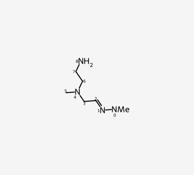 CN/N=C/CN(C)CCN